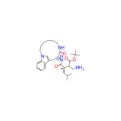 CC(C)C[C@@H](C(=O)N[C@H]1Cc2cn(c3ccccc23)CCCCCCNC1=O)C(CN)C(=O)OC(C)(C)C